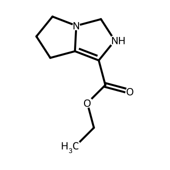 CCOC(=O)C1=C2CCCN2CN1